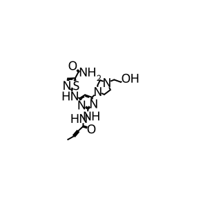 CC#CC(=O)NNc1nc(Nc2ncc(C(N)=O)s2)cc(N2CCN(CCO)CC2)n1